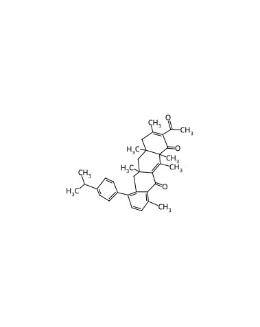 CC(=O)C1=C(C)CC2(C)CC3(C)Cc4c(-c5ccc(C(C)C)cc5)ccc(C)c4C(=O)C3=C(C)C2(C)C1=O